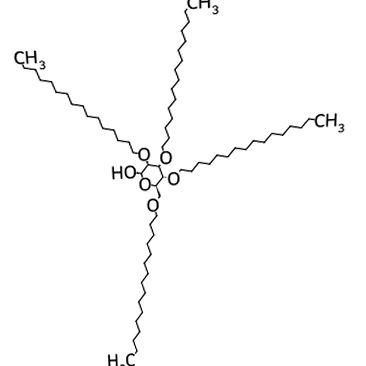 CCCCCCCCCCCCCCCCOC[C@H]1O[C@@H](O)[C@@H](OCCCCCCCCCCCCCCCC)[C@@H](OCCCCCCCCCCCCCCCC)[C@@H]1OCCCCCCCCCCCCCCCC